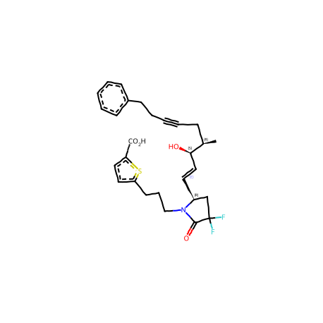 C[C@H](CC#CCCc1ccccc1)[C@H](O)/C=C/[C@H]1CC(F)(F)C(=O)N1CCCc1ccc(C(=O)O)s1